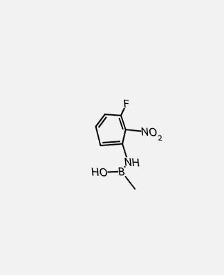 CB(O)Nc1cccc(F)c1[N+](=O)[O-]